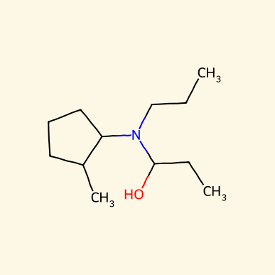 CCCN(C(O)CC)C1CCCC1C